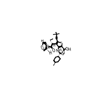 CC[C@@H](C(=O)N1C[C@@H]2C[C@@H]1CO2)c1c(C#CC(C)(C)C)sc(C(=O)O)c1NC(=O)[C@H]1CC[C@H](C)CC1